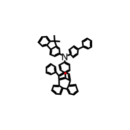 CC1(C)c2ccccc2-c2ccc(N(c3ccc(-c4ccccc4)cc3)c3ccc(-c4c5ccc(-c6ccccc6)c4-c4ccccc4-c4ccccc4-5)cc3)cc21